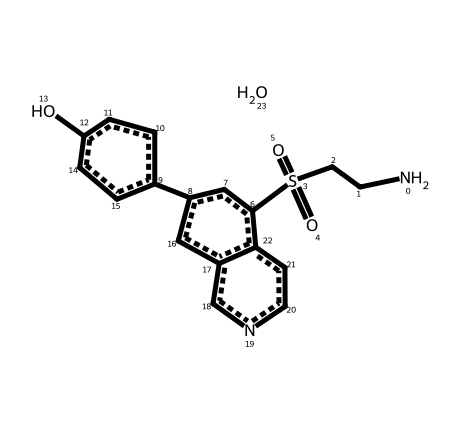 NCCS(=O)(=O)c1cc(-c2ccc(O)cc2)cc2cnccc12.O